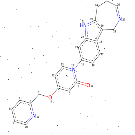 O=c1cc(OCc2ccccn2)ccn1-c1ccc2c3c([nH]c2c1)CCC=NC3